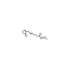 COC(=O)CCC/C=C/CC1=CCCC1=O